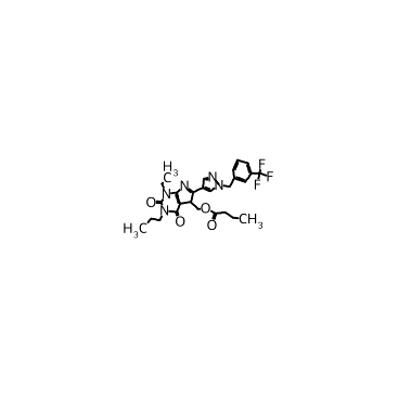 CCCC(=O)OCC1C(c2cnn(Cc3cccc(C(F)(F)F)c3)c2)=Nc2c1c(=O)n(CCC)c(=O)n2CC